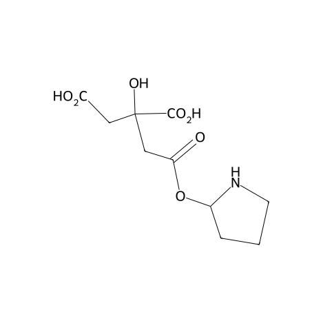 O=C(O)CC(O)(CC(=O)OC1CCCN1)C(=O)O